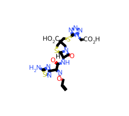 C=CCON=C(C(=O)NC1C(=O)N2CC(CSc3nnnn3CC(=O)O)(C(=O)O)CS[C@H]12)c1nsc(N)n1